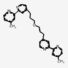 Cc1ccnc(-c2cc(CCCOCCCc3ccnc(-c4cc(C)ccn4)c3)ccn2)c1